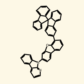 c1ccc2c(c1)-c1ccccc1C21c2ccccc2-c2cc(-c3cccc4c3oc3cc(-n5c6ccccc6c6cccnc65)ccc34)ccc21